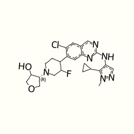 Cn1ncc(Nc2ncc3cc(Cl)c(C4CCN([C@@H]5COCC5O)CC4F)cc3n2)c1C1CC1